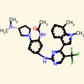 CC(=O)Nc1cc(Nc2ncc(C(F)(F)F)c(-c3cn(C)c4c(C)cccc34)n2)ccc1N1CC[C@@H](N(C)C)C1